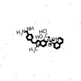 Cl.Cn1c(Cc2ccc(C(=N)N)cc2)cc2cc(N(CC(=O)O)S(=O)(=O)c3cccc4cccnc34)ccc21